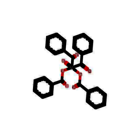 O=C([O][Ti](=[O])([O]C(=O)c1ccccc1)([C](=O)c1ccccc1)[C](=O)c1ccccc1)c1ccccc1